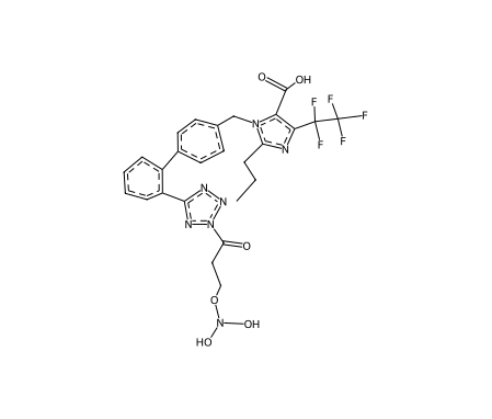 CCCc1nc(C(F)(F)C(F)(F)F)c(C(=O)O)n1Cc1ccc(-c2ccccc2-c2nnn(C(=O)CCON(O)O)n2)cc1